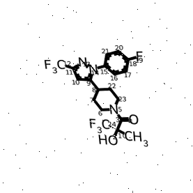 C[C@@](O)(C(=O)N1CCC(c2cc(C(F)(F)F)nn2-c2ccc(F)cc2)CC1)C(F)(F)F